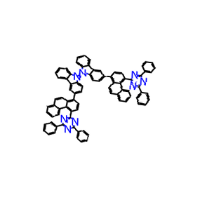 c1ccc(-c2nc(-c3ccccc3)nc(-c3ccc(-c4ccc5c(c4)c4ccccc4n5-n4c5ccccc5c5cc(-c6ccc(-c7nc(-c8ccccc8)nc(-c8ccccc8)n7)c7c6ccc6ccccc67)ccc54)c4ccc5ccccc5c34)n2)cc1